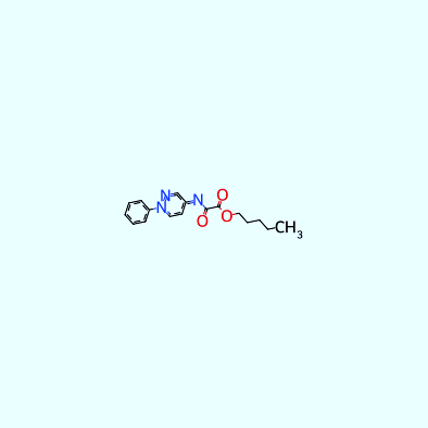 CCCCCOC(=O)C(=O)N=c1ccn(-c2ccccc2)nc1